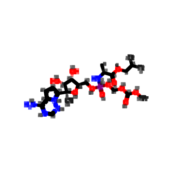 CCC(CC)COC(=O)[C@H](C)NP(=O)(OCOC(=O)OC(C)C)OC[C@H]1O[C@@](C#N)(c2ccc3c(N)ncnn23)[C@H](O)[C@@H]1O